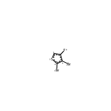 Fc1csc(Br)c1Br